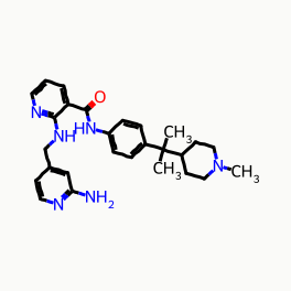 CN1CCC(C(C)(C)c2ccc(NC(=O)c3cccnc3NCc3ccnc(N)c3)cc2)CC1